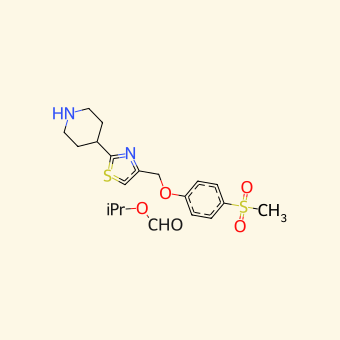 CC(C)OC=O.CS(=O)(=O)c1ccc(OCc2csc(C3CCNCC3)n2)cc1